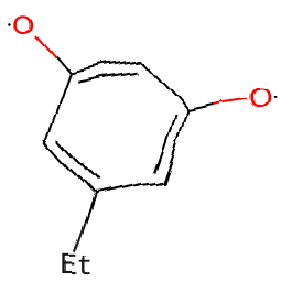 CCc1cc([O])cc([O])c1